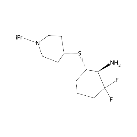 CC(C)N1CCC(S[C@H]2CCCC(F)(F)[C@@H]2N)CC1